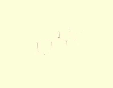 CN1CCC(C(=O)NS(=O)(=O)C(F)(F)F)CC1